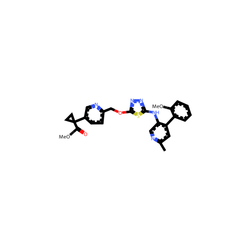 COC(=O)C1(c2ccc(COc3nnc(Nc4cnc(C)cc4-c4ccccc4OC)s3)nc2)CC1